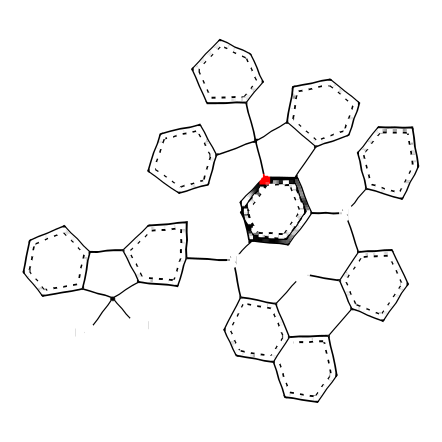 CC1(C)c2ccccc2-c2ccc(N(c3ccc4c(c3)C(c3ccccc3)(c3ccccc3)c3ccccc3-4)c3ccc4cccc5c4c3Oc3c-5cccc3N(c3ccccc3)c3ccccc3)cc21